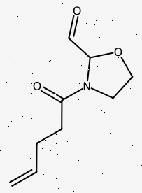 C=CCCC(=O)N1CCOC1C=O